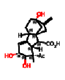 C=C1C[C@]23C[C@@]1(O)CC[C@H]2C1=C[C@@H](O)[C@H](O)[C@@](C)(C(C)=O)[C@H]1[C@@H]3C(=O)O